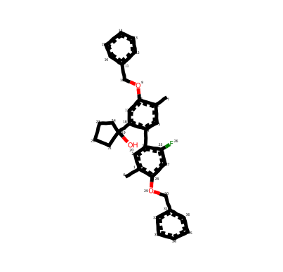 Cc1cc(-c2cc(C)c(OCc3ccccc3)cc2C2(O)CCCC2)c(F)cc1OCc1ccccc1